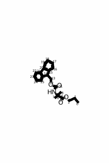 CCCOC(=O)C(C)(C)NC(=O)OCC1c2ccccc2-c2ccccc21